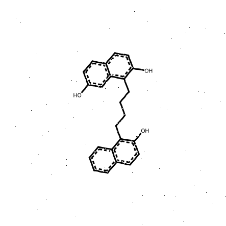 Oc1ccc2ccc(O)c(CCCCc3c(O)ccc4ccccc34)c2c1